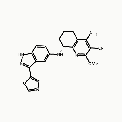 COc1nc2c(c(C)c1C#N)CCC[C@H]2Nc1ccc2[nH]nc(-c3cnco3)c2c1